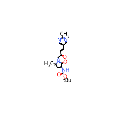 Cc1ncc(C=CC(=O)CN2C(=O)[C@@H](NC(=O)OC(C)(C)C)C[C@H]2C)cn1